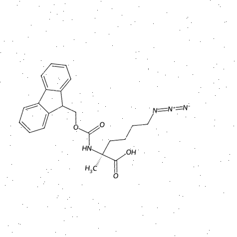 C[C@@](CCCCN=[N+]=[N-])(NC(=O)OCC1c2ccccc2-c2ccccc21)C(=O)O